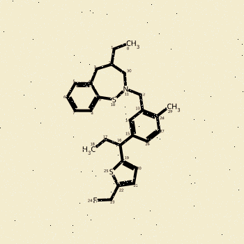 CCC1Cc2ccccc2SN(Cc2cc(C(CC)c3ccc(CF)s3)ccc2C)C1